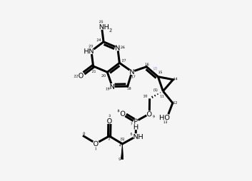 COC(=O)[C@H](C)N[PH](=O)OC[C@@]1(CO)C/C1=C/n1cnc2c(=O)[nH]c(N)nc21